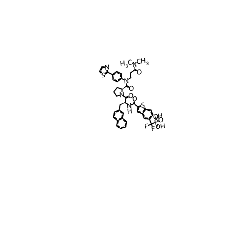 CN(C)C(=O)CCN(C(=O)[C@@H]1CCCN1C(=O)[C@H](Cc1ccc2ccccc2c1)NC(=O)c1cc2cc(C(F)(F)P(=O)(O)O)ccc2s1)c1ccc(-c2nccs2)cc1